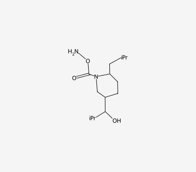 CC(C)CC1CCC(C(O)C(C)C)CN1C(=O)ON